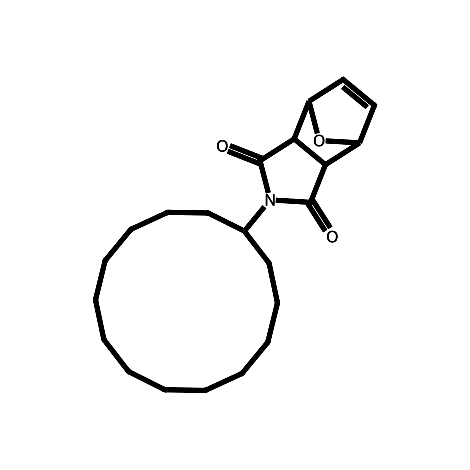 O=C1C2C3C=CC(O3)C2C(=O)N1C1CCCCCCCCCCCCC1